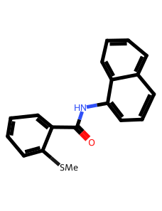 CSc1ccccc1C(=O)Nc1cccc2ccccc12